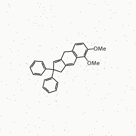 COc1ccc2c(c1OC)C=C1CC(c3ccccc3)(c3ccccc3)C=C1C2